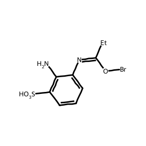 CCC(=Nc1cccc(S(=O)(=O)O)c1N)OBr